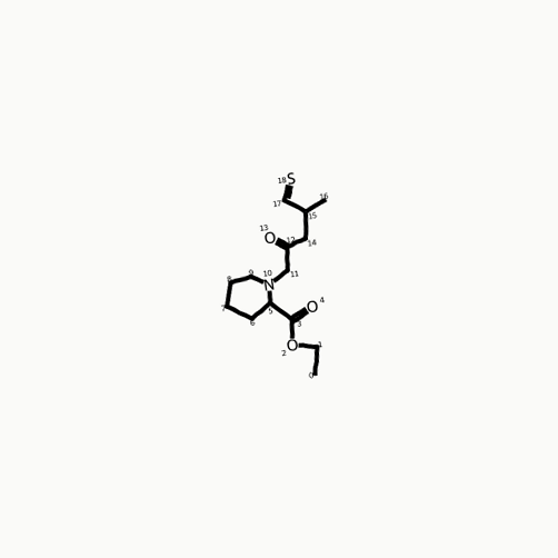 CCOC(=O)C1CCCCN1CC(=O)CC(C)C=S